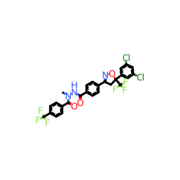 CN(NC(=O)c1ccc(C2=NOC(c3cc(Cl)cc(Cl)c3)(C(F)(F)F)C2)cc1)C(=O)c1ccc(C(F)(F)F)cc1